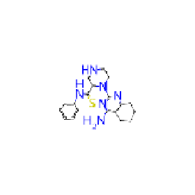 Nc1nc(N2CCNCC2C(=S)Nc2ccccc2)nc2c1CCCC2